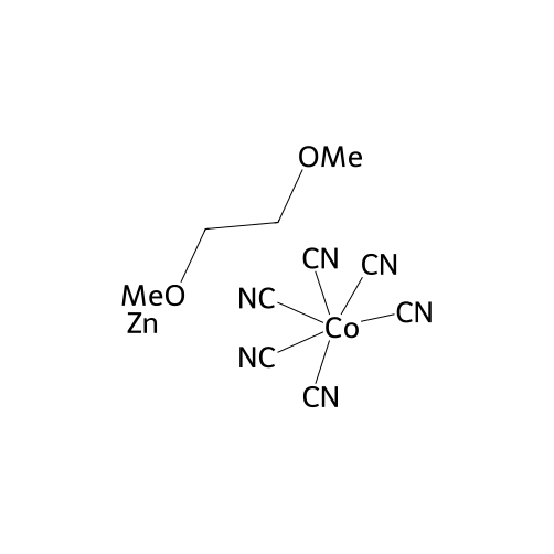 COCCOC.N#[C][Co]([C]#N)([C]#N)([C]#N)([C]#N)[C]#N.[Zn]